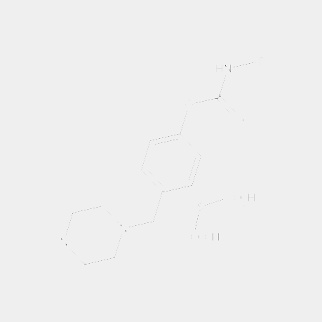 CC(C)NC(=O)Oc1ccc(CN2CCNCC2)cc1.O=C(O)SC(=O)O